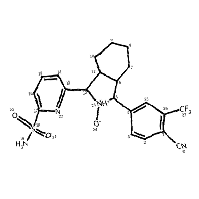 N#Cc1ccc(C2C3CCCCC3C(c3cccc(S(N)(=O)=O)n3)[NH+]2[O-])cc1C(F)(F)F